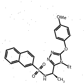 CCn1c(Oc2ccc(OC)cc2)nnc1[C@@H](C)NS(=O)(=O)c1ccc2ccccc2c1